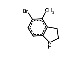 Cc1c(Br)ccc2c1CCN2